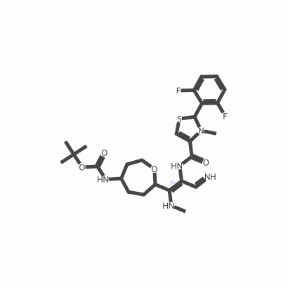 CN/C(=C(\C=N)NC(=O)C1=CSC(c2c(F)cccc2F)N1C)C1CCC(NC(=O)OC(C)(C)C)CCO1